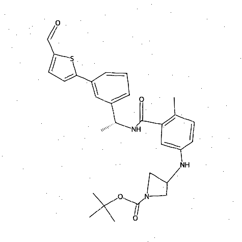 Cc1ccc(NC2CN(C(=O)OC(C)(C)C)C2)cc1C(=O)N[C@H](C)c1cccc(-c2ccc(C=O)s2)c1